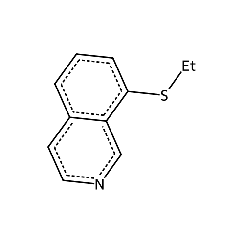 CCSc1cccc2ccncc12